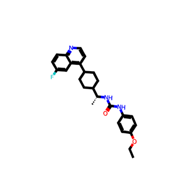 CCOc1ccc(NC(=O)N[C@H](C)C2CCC(c3ccnc4ccc(F)cc34)CC2)cc1